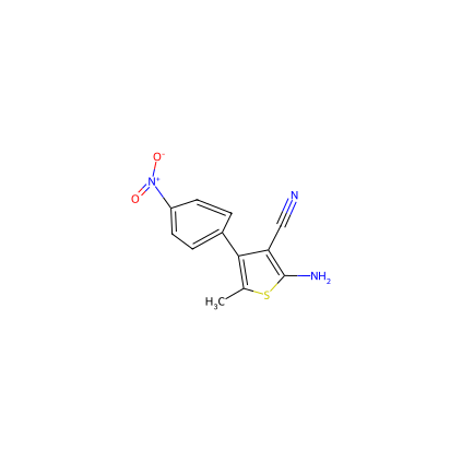 Cc1sc(N)c(C#N)c1-c1ccc([N+](=O)[O-])cc1